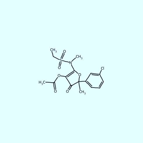 CCS(=O)(=O)N(C)C1=C(OC(C)=O)C(=O)C(C)(c2cccc(Cl)c2)O1